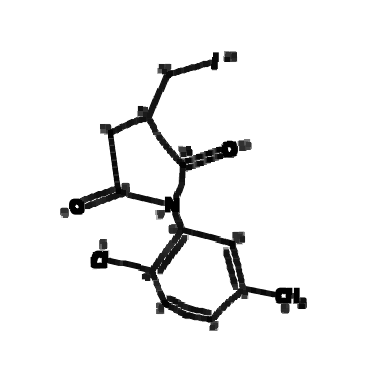 Cc1ccc(Cl)c(N2C(=O)CC(CI)C2=O)c1